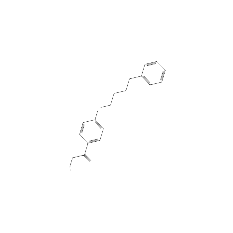 O=C(CBr)c1ccc(OCCCCc2ccccc2)cc1